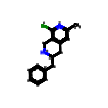 Cc1cc2c(c(Br)n1)CNC(Cc1ccccc1)C2